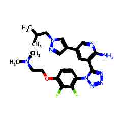 CC(C)Cn1cc(-c2cnc(N)c(-c3nnnn3-c3ccc(OCCN(C)C)c(F)c3F)c2)cn1